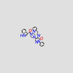 CN(CCc1ccccn1)c1c(N2CCN(C(=O)C3=CNC4C=CC=CC34)CC2)cnn(-c2ccccc2)c1=O